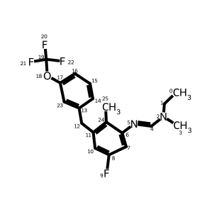 CCN(C)C=Nc1cc(F)cc(Cc2cccc(OC(F)(F)F)c2)c1C